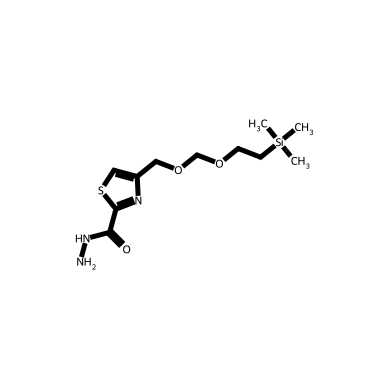 C[Si](C)(C)CCOCOCc1csc(C(=O)NN)n1